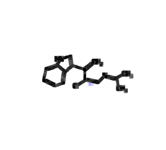 C=C(/C(Cl)=C\N=C(C)C)c1c[nH]c2ccccc12